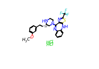 COc1cccc(CC[C@H]2CN(C3=Nc4ccccc4Nc4sc(C(F)(F)F)nc43)CCN2)c1.Cl.Cl